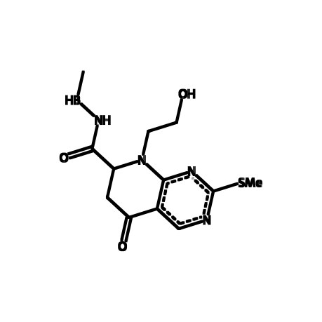 CBNC(=O)C1CC(=O)c2cnc(SC)nc2N1CCO